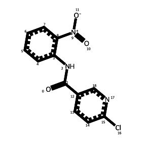 O=C(Nc1ccccc1[N+](=O)[O-])c1ccc(Cl)nc1